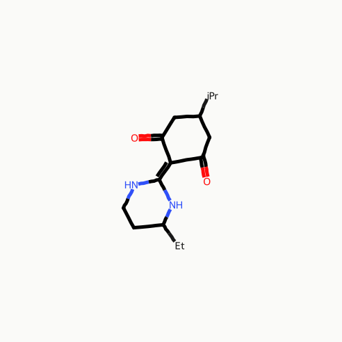 CCC1CCNC(=C2C(=O)CC(C(C)C)CC2=O)N1